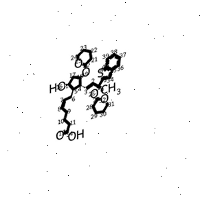 CC(/C=C/[C@@H]1[C@@H](C/C=C\CCCC(=O)O)[C@@H](O)C[C@H]1OC1CCCCO1)(OC1CCCCO1)c1cc2ccccc2s1